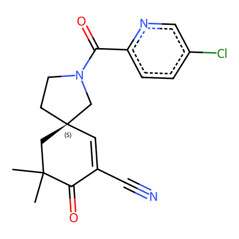 CC1(C)C[C@@]2(C=C(C#N)C1=O)CCN(C(=O)c1ccc(Cl)cn1)C2